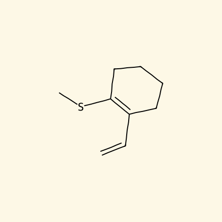 C=CC1=C(SC)CCCC1